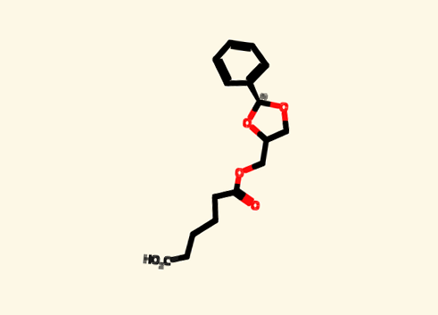 O=C(O)CCCCC(=O)OCC1CO[C@H](c2ccccc2)O1